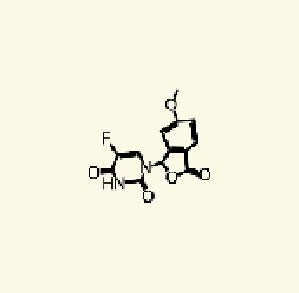 COc1ccc2c(c1)C(n1cc(F)c(=O)[nH]c1=O)OC2=O